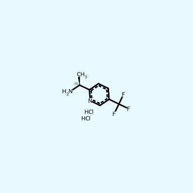 C[C@H](N)c1ccc(C(F)(F)F)cn1.Cl.Cl